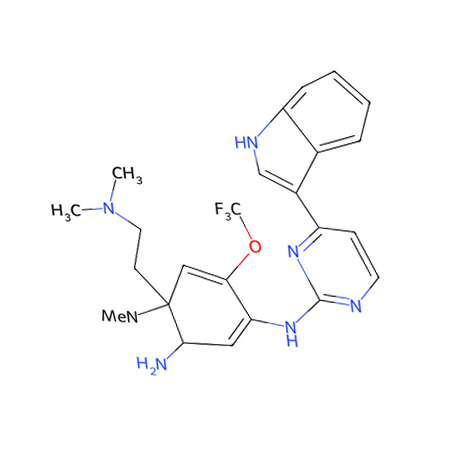 CNC1(CCN(C)C)C=C(OC(F)(F)F)C(Nc2nccc(-c3c[nH]c4ccccc34)n2)=CC1N